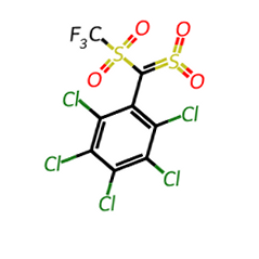 O=S(=O)=C(c1c(Cl)c(Cl)c(Cl)c(Cl)c1Cl)S(=O)(=O)C(F)(F)F